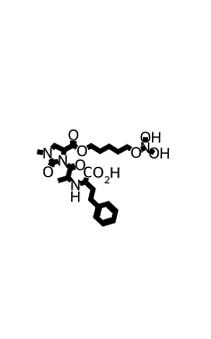 CC(NC(CCc1ccccc1)C(=O)O)C(=O)N1C(=O)N(C)CC1C(=O)OCCCCCON(O)O